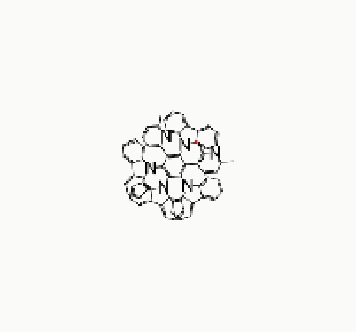 Cc1cccc(-c2c(-n3c4ccccc4c4ccccc43)c(-c3ccc(C)nc3C)c(-n3c4ccccc4c4ccccc43)c(-n3c4ccccc4c4ccccc43)c2-n2c3ccccc3c3ccccc32)n1